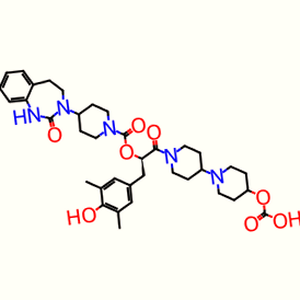 Cc1cc(C[C@@H](OC(=O)N2CCC(N3CCc4ccccc4NC3=O)CC2)C(=O)N2CCC(N3CCC(OC(=O)O)CC3)CC2)cc(C)c1O